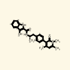 Cc1cc(C(F)(F)F)c(-c2ccc(C[C@H](NC(=O)c3[nH]c4ccccc4c3O)C(=O)O)cc2)c(=O)n1C